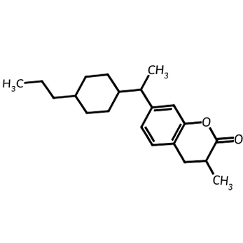 CCCC1CCC(C(C)c2ccc3c(c2)OC(=O)C(C)C3)CC1